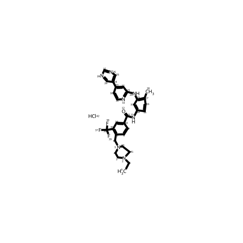 CCN1CCN(Cc2ccc(C(=O)Nc3ccc(C)c(Nc4cc(-c5cncnc5)ccn4)c3)cc2C(F)(F)F)CC1.Cl